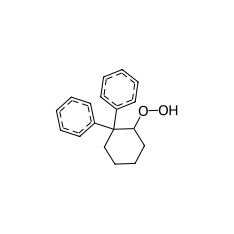 OOC1CCCCC1(c1ccccc1)c1ccccc1